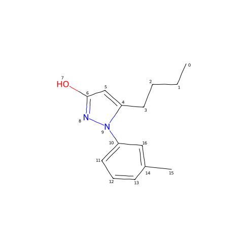 CCCCc1cc(O)nn1-c1cccc(C)c1